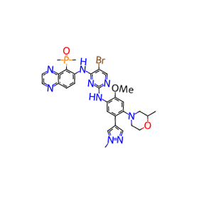 COc1cc(N2CCOC(C)C2)c(-c2cnn(C)c2)cc1Nc1ncc(Br)c(Nc2ccc3nccnc3c2P(C)(C)=O)n1